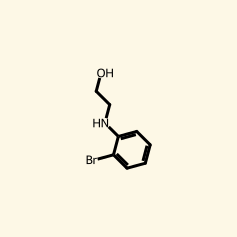 OCCNc1ccccc1Br